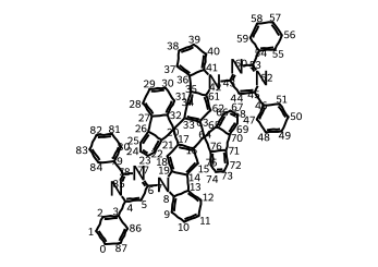 c1ccc(-c2cc(-n3c4ccccc4c4cc5c(cc43)C3(c4ccccc4-c4ccccc43)c3cc4c6ccccc6n(-c6cc(-c7ccccc7)nc(-c7ccccc7)n6)c4cc3C53c4ccccc4-c4ccccc43)nc(-c3ccccc3)n2)cc1